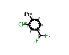 CC(C)c1ccc(C(F)F)cc1Cl